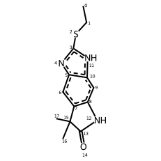 CCSc1nc2cc3c(cc2[nH]1)NC(=O)C3(C)C